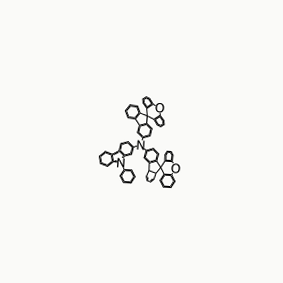 C1=CC2c3cc(N(c4ccc5c(c4)-c4ccccc4C54c5ccccc5Oc5ccccc54)c4ccc5c6ccccc6n(-c6ccccc6)c5c4)ccc3C3(c4ccccc4Oc4ccccc43)C2C=C1